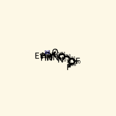 CCN/C=C\C(=N)C(=O)Nc1ccc(Cc2cc(F)cc(F)c2)cn1